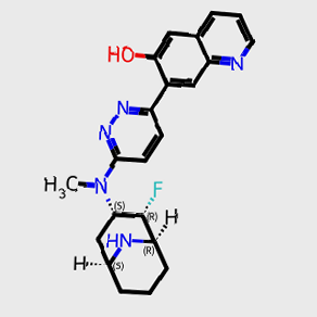 CN(c1ccc(-c2cc3ncccc3cc2O)nn1)[C@H]1C[C@@H]2CCC[C@@H](N2)[C@H]1F